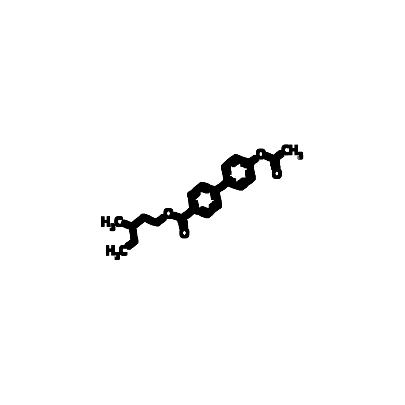 CCC(C)CCOC(=O)c1ccc(-c2ccc(OC(C)=O)cc2)cc1